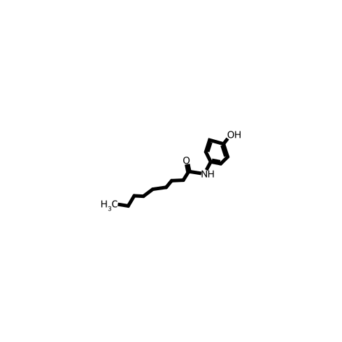 CCCCCCCCC(=O)Nc1ccc(O)cc1